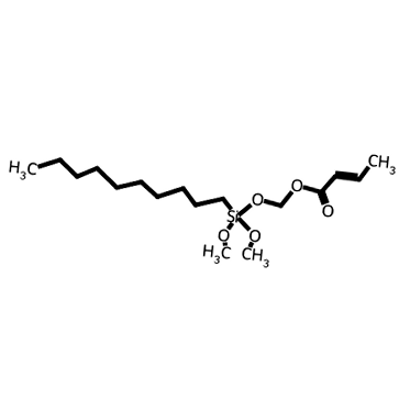 CC=CC(=O)OCO[Si](CCCCCCCCCC)(OC)OC